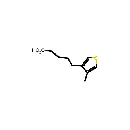 Cc1cscc1CCCCC(=O)O